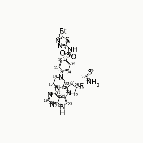 CCc1nnc(NS(=O)(=O)c2ccc(N3CCN(c4ncnc5[nH]cc(N6CCC(F)C6)c45)CC3)cc2)s1.NC=S